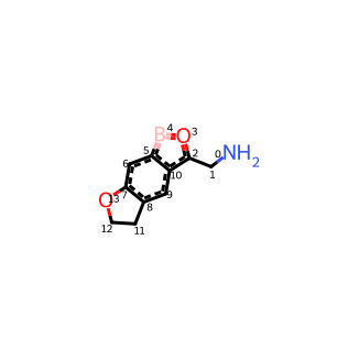 NCc1obc2cc3c(cc12)CCO3